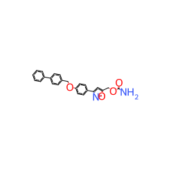 NC(=O)OCc1cc(-c2ccc(OCc3ccc(-c4ccccc4)cc3)cc2)no1